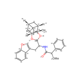 COC(C(=O)NC(Cc1coc2ccccc12)B1O[C@@H]2C[C@@H]3C[C@@H](C3(C)C)[C@]2(C)O1)c1ccccc1